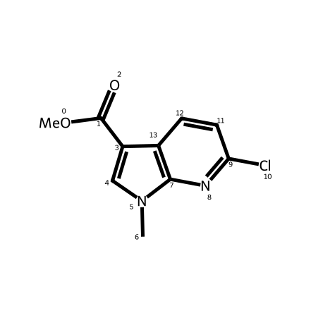 COC(=O)c1cn(C)c2nc(Cl)ccc12